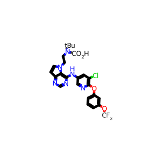 CC(C)(C)N(CCn1ccc2ncnc(Nc3cnc(Oc4cccc(OC(F)(F)F)c4)c(Cl)c3)c21)C(=O)O